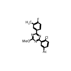 COc1nc(-c2ccc(F)c(C)c2)nc(-c2cc(C(C)=O)ccc2Cl)n1